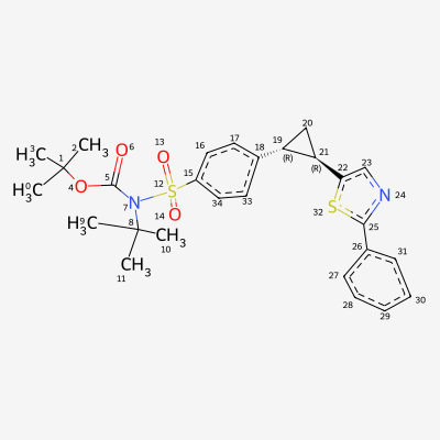 CC(C)(C)OC(=O)N(C(C)(C)C)S(=O)(=O)c1ccc([C@@H]2C[C@H]2c2cnc(-c3ccccc3)s2)cc1